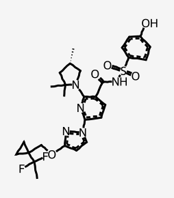 C[C@@H]1CN(c2nc(-n3ccc(OCC4(C(C)(F)F)CC4)n3)ccc2C(=O)NS(=O)(=O)c2ccc(O)cc2)C(C)(C)C1